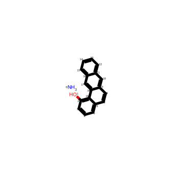 N.Oc1cccc2ccc3cc4ccccc4cc3c12